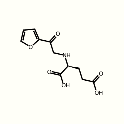 O=C(O)CC[C@H](NCC(=O)c1ccco1)C(=O)O